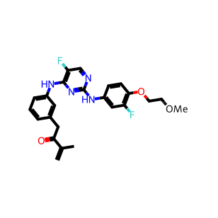 C=C(C)C(=O)Cc1cccc(Nc2nc(Nc3ccc(OCCOC)c(F)c3)ncc2F)c1